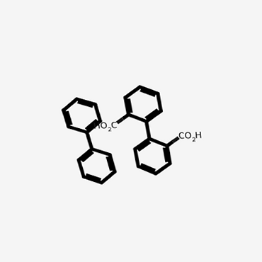 O=C(O)c1ccccc1-c1ccccc1C(=O)O.c1ccc(-c2ccccc2)cc1